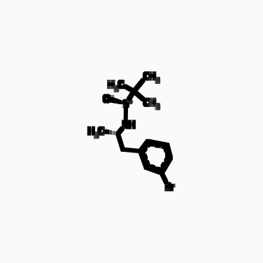 C[C@@H](Cc1cccc(Br)c1)N[S@@+]([O-])C(C)(C)C